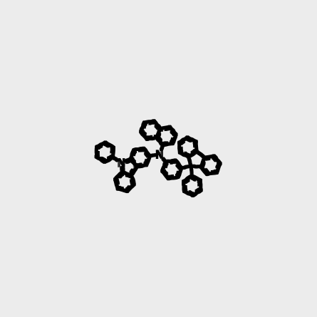 c1ccc(-n2c3ccccc3c3cc(N(c4cccc(C5(c6ccccc6)c6ccccc6-c6ccccc65)c4)c4cccc5ccccc45)ccc32)cc1